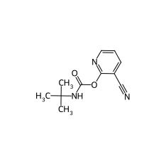 CC(C)(C)NC(=O)Oc1ncccc1C#N